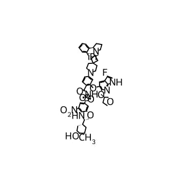 CC(C)c1ccccc1[C@H]1CCCN1C1CC2(CCN(c3ccc(C(=O)NS(=O)(=O)c4cc5c(c([N+](=O)[O-])c4)N[C@@H]([C@H]4CC[C@](C)(O)CC4)CO5)c(Oc4cc5c(F)c[nH]c5nc4O[C@@H]4CCOC4)c3)CC2)C1